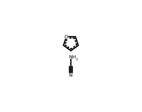 N#CN.c1ccoc1